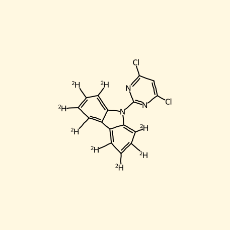 [2H]c1c([2H])c([2H])c2c(c1[2H])c1c([2H])c([2H])c([2H])c([2H])c1n2-c1nc(Cl)cc(Cl)n1